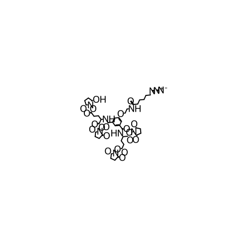 [N-]=[N+]=NCCCCCC(=O)NCCOc1cc(C(=O)NC(CCC(=O)ON2C(=O)CCC2=O)C(=O)ON2C(=O)CCC2=O)cc(C(=O)NC(CCC(=O)ON2C(=O)CCC2O)C(=O)ON2C(=O)CCC2=O)c1